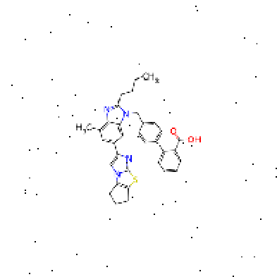 CCCCc1nc2c(C)cc(-c3cn4c5c(sc4n3)CCC5)cc2n1Cc1ccc(-c2ccccc2C(=O)O)cc1